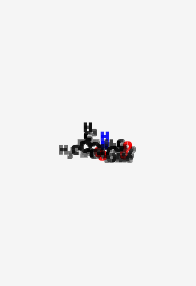 COC(=O)C(CCC1(C)OCCO1)NC(=O)Cc1c(C)cc(C)cc1C